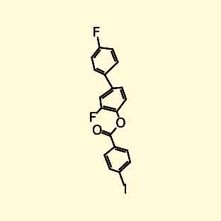 O=C(Oc1ccc(-c2ccc(F)cc2)cc1F)c1ccc(I)cc1